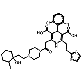 O=C(O)C1=C(CCc2nccs2)NC(CC(=O)N2CCN(CCC3(O)CCCCC3I)CC2)=C(C(=O)O)C1c1c(Cl)cccc1Cl